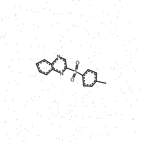 Cc1ccc(S(=O)(=O)c2cnc3ccccc3n2)cc1